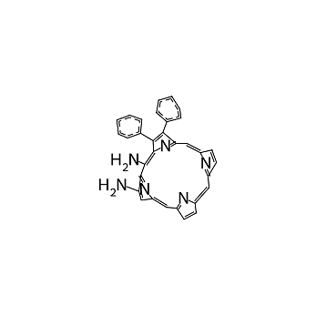 NC1=CC2=CC3=NC(=CC4=NC(=CC5=NC(=C(N)C1=N2)C(c1ccccc1)=C5c1ccccc1)C=C4)C=C3